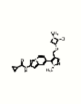 C[C@H]1[C@H](OCc2cnn(C)c2-c2ccn3nc(NC(=O)C4CC4)cc3c2)CN1C